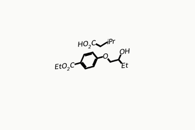 CC(C)CC(=O)O.CCOC(=O)c1ccc(OCC(O)CC)cc1